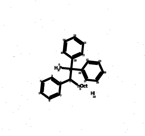 CCCCCCCCC(c1ccccc1)C(P)(c1ccccc1)c1ccccc1.I